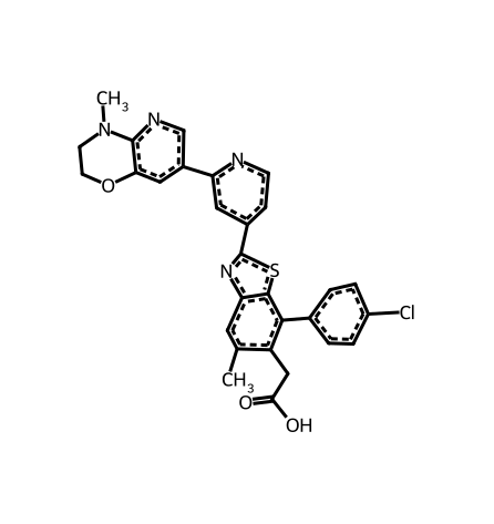 Cc1cc2nc(-c3ccnc(-c4cnc5c(c4)OCCN5C)c3)sc2c(-c2ccc(Cl)cc2)c1CC(=O)O